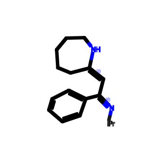 CC(C)/N=C(/C=C1\CCCCCN1)c1ccccc1